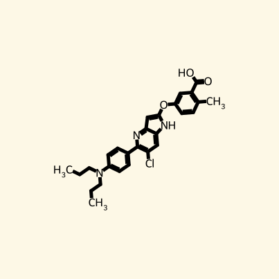 CCCN(CCC)c1ccc(-c2nc3cc(Oc4ccc(C)c(C(=O)O)c4)[nH]c3cc2Cl)cc1